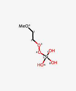 COCCOO[Si](O)(O)O